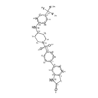 O=C1Cc2ncc(-c3ccc(S(=O)(=O)N4CCC(Nc5ccc(C(F)(F)F)cn5)CC4)cc3)cc2N1